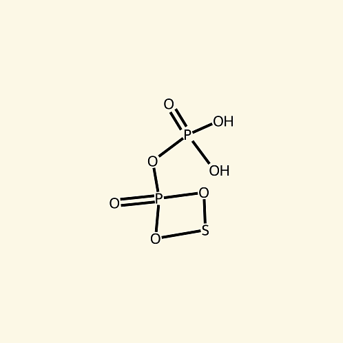 O=P(O)(O)OP1(=O)OSO1